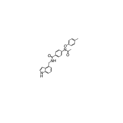 CC(=O)N(Oc1ccc(C)cc1)c1ccc(C(=O)NCc2cccc3[nH]ccc23)cc1